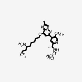 CCN[C@H](C)c1cc(-c2cc(OCCCCC[C@@H](N)CCC(F)(F)F)c3nc(C)cn3n2)c(OC)cn1.Cl.Cl